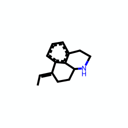 C/C=C1\CCC2NCCc3cccc1c32